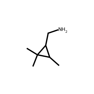 CC1C(CN)C1(C)C